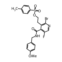 COc1ccc(CNC(=O)c2c(F)cnc(Br)c2CCOS(=O)(=O)c2ccc(C)cc2)cc1